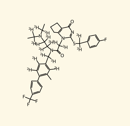 [2H]c1c([2H])c(C([2H])([2H])N(C(=O)C([2H])([2H])n2c(SC([2H])([2H])c3ccc(F)cc3)nc(=O)c3c2CCC3)C([2H])([2H])C([2H])([2H])N(C([2H])([2H])C)C([2H])([2H])C)c([2H])c(C)c1-c1ccc(C(F)(F)F)cc1